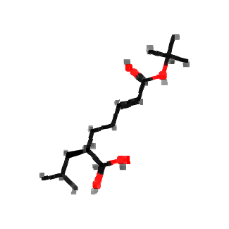 CC(C)C[C@@H](CCC=CC(=O)OC(C)(C)C)C(=O)O